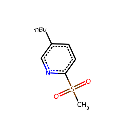 CCC[CH]c1ccc(S(C)(=O)=O)nc1